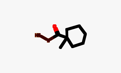 CC1(C(=O)SS)CCCCC1